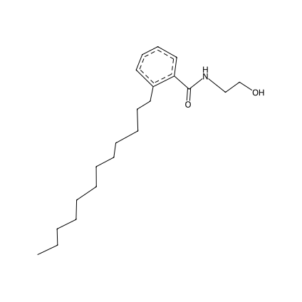 CCCCCCCCCCCCc1ccccc1C(=O)NCCO